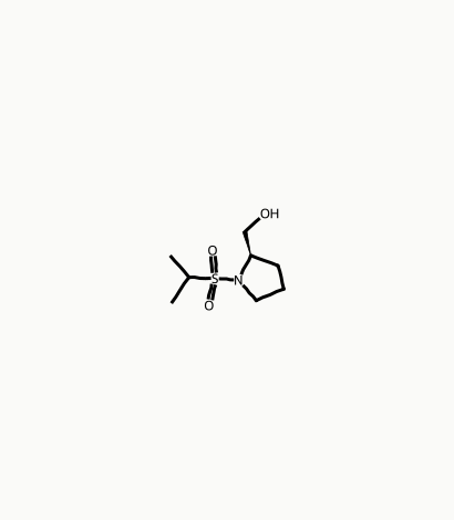 CC(C)S(=O)(=O)N1CCC[C@@H]1CO